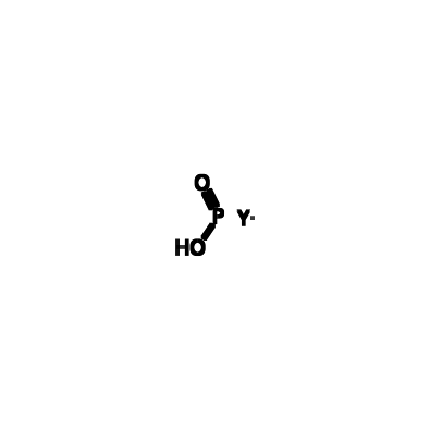 O=PO.[Y]